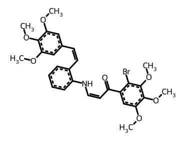 COc1cc(/C=C\c2ccccc2N/C=C\C(=O)c2cc(OC)c(OC)c(OC)c2Br)cc(OC)c1OC